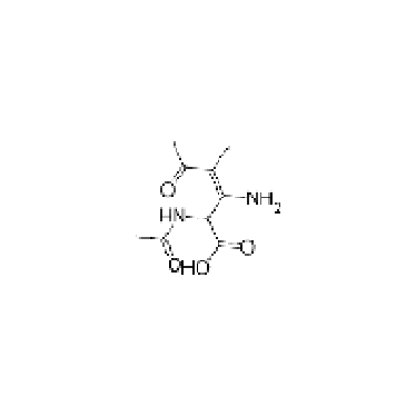 CC(=O)NC(C(=O)O)/C(N)=C(/C)C(C)=O